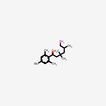 Cc1cc(C(C)(C)C)cc(C)c1C(=O)CC(C)(C)CC(C)CP